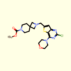 CC(C)(C)OC(=O)N1CCC2(CC1)CN(Cc1cc3nc(Cl)nc(N4CCOCC4)c3s1)C2